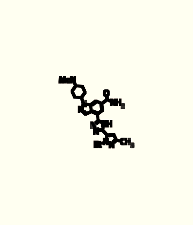 CCn1nc(C)cc1-c1nnc(-c2cc(C(N)=O)cc3c2cnn3C2CCC(NC)CC2)[nH]1